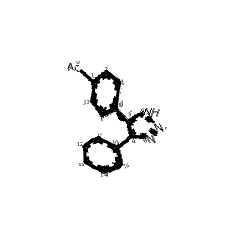 CC(=O)c1ccc(-c2[nH]nnc2-c2ccccc2)cc1